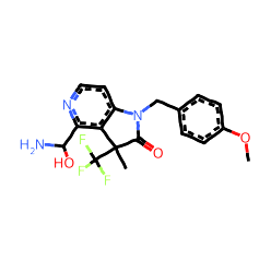 COc1ccc(CN2C(=O)C(C)(C(F)(F)F)c3c2ccnc3C(N)O)cc1